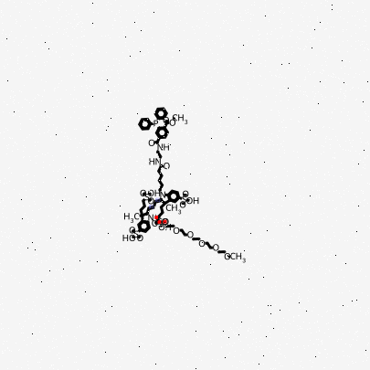 COCCOCCOCCOCCOCCOCC[N+]1=C(/C=C/C=C2/N(CCCCCC(=O)NCCNC(=O)c3ccc(C(=O)OC)c(P(c4ccccc4)c4ccccc4)c3)c3ccc(S(=O)(=O)O)cc3C2(C)CCCS(=O)(=O)O)C(C)(CCCS(=O)(=O)O)c2cc(S(=O)(=O)O)ccc21